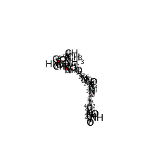 CNS(=O)(=O)c1ccc(N(C)C)c(Nc2ncnc3cc(OCCCN4CCN(C(=O)N5CCN(CCC#Cc6ccc(N7CCC(=O)NC7=O)cc6)CC5)CC4)ccc23)c1